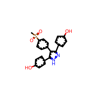 CS(=O)(=O)c1ccc(-c2c(-c3ccc(O)cc3)n[nH]c2-c2ccc(O)cc2)cc1